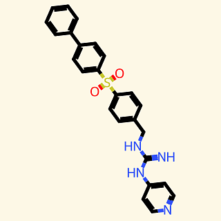 N=C(NCc1ccc(S(=O)(=O)c2ccc(-c3ccccc3)cc2)cc1)Nc1ccncc1